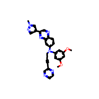 COc1cc(OC)cc(N(CC#Cc2cnccn2)c2ccc3ncc(-c4cnn(C)c4)nc3c2)c1